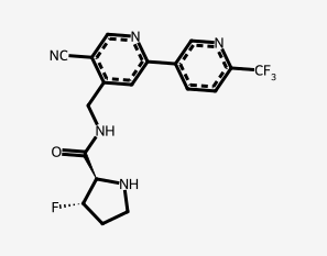 N#Cc1cnc(-c2ccc(C(F)(F)F)nc2)cc1CNC(=O)[C@H]1NCC[C@@H]1F